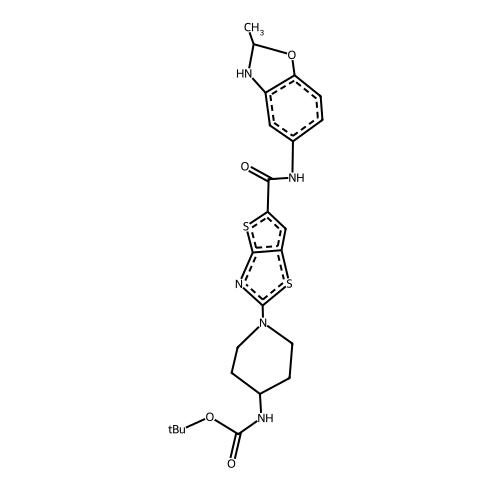 CC1Nc2cc(NC(=O)c3cc4sc(N5CCC(NC(=O)OC(C)(C)C)CC5)nc4s3)ccc2O1